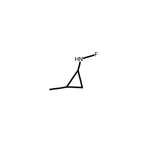 CC1CC1NF